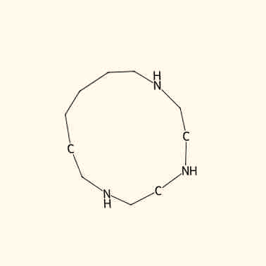 C1CCCNCCNCCNCC1